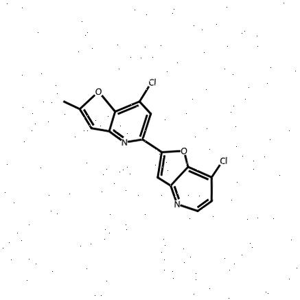 Cc1cc2nc(-c3cc4nccc(Cl)c4o3)cc(Cl)c2o1